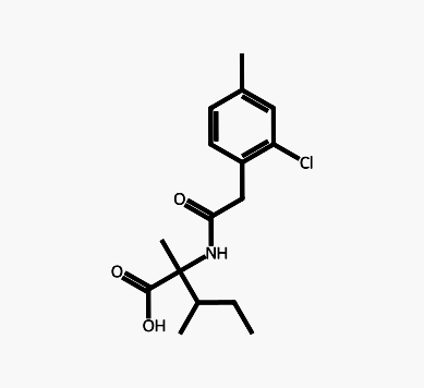 CCC(C)C(C)(NC(=O)Cc1ccc(C)cc1Cl)C(=O)O